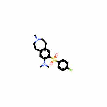 CN1CCc2cc(N(C)C)c(S(=O)(=O)c3ccc(F)cc3)cc2CC1